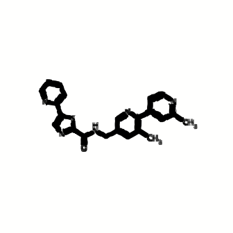 Cc1cc(-c2ncc(CNC(=O)c3ncc(-c4ccccn4)s3)cc2C)ccn1